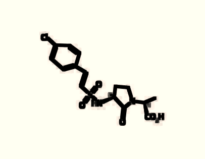 C[C@@H](C(=O)O)N1CC[C@H](NS(=O)(=O)C=Cc2ccc(Cl)cc2)C1=O